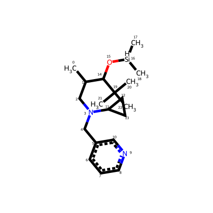 CC(CN(Cc1cccnc1)C1CC1)C(O[SiH](C)C)C(C)(C)C